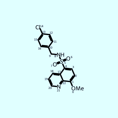 COc1ccc(S(=O)(=O)NCc2ccc(Cl)cc2)c2cccnc12